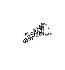 CO/N=C(\C(=O)N[C@@H]1C(=O)N2C(C(=O)O)=C(CSc3nnc(-c4ccccn4)o3)CS[C@H]12)c1csc(N)n1